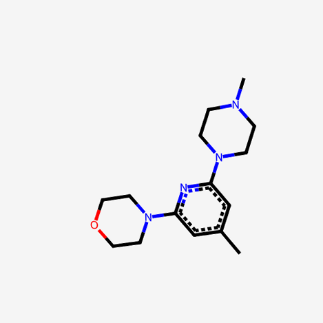 Cc1cc(N2CCOCC2)nc(N2CCN(C)CC2)c1